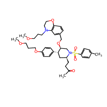 COCCCOc1ccc([C@H]2C[C@H](CCC(C)=O)N(S(=O)(=O)c3ccc(C)cc3)C[C@@H]2OCc2ccc3c(c2)N(CCCOC)CCO3)cc1